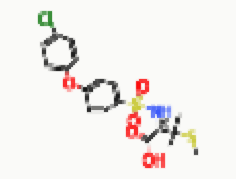 CSC(C)(C)[C@@H](NS(=O)(=O)c1ccc(Oc2ccc(Cl)cc2)cc1)C(=O)O